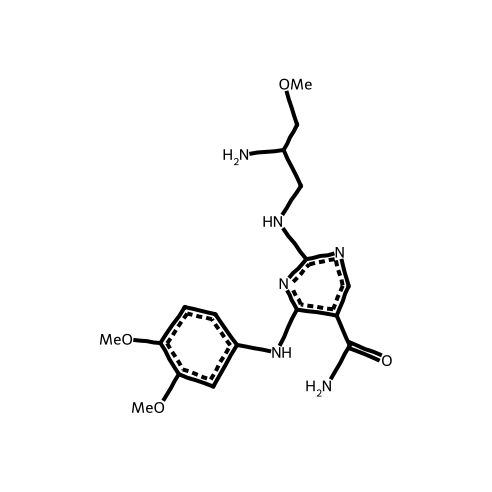 COCC(N)CNc1ncc(C(N)=O)c(Nc2ccc(OC)c(OC)c2)n1